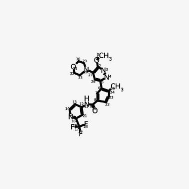 COc1nnc(-c2cc(C(=O)Nc3ccnc(C(F)(F)F)c3)ccc2C)cc1N1CCOCC1